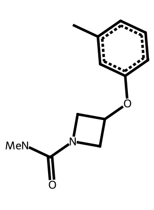 CNC(=O)N1CC(Oc2cccc(C)c2)C1